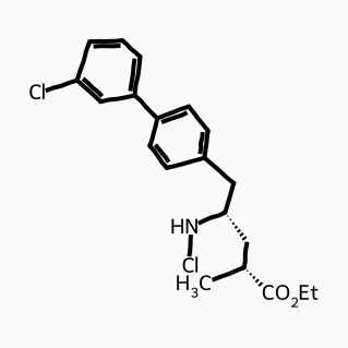 CCOC(=O)[C@H](C)C[C@@H](Cc1ccc(-c2cccc(Cl)c2)cc1)NCl